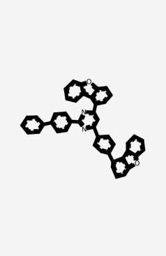 c1ccc(-c2ccc(-c3nc(-c4ccc(-c5cccc6oc7ccccc7c56)cc4)cc(-c4cccc5oc6ccccc6c45)n3)cc2)cc1